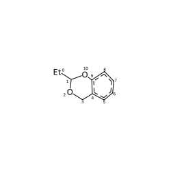 CCC1OCc2ccccc2O1